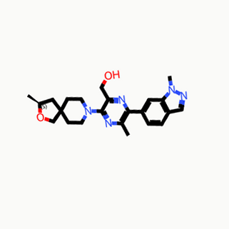 Cc1nc(N2CCC3(CC2)CO[C@@H](C)C3)c(CO)nc1-c1ccc2cnn(C)c2c1